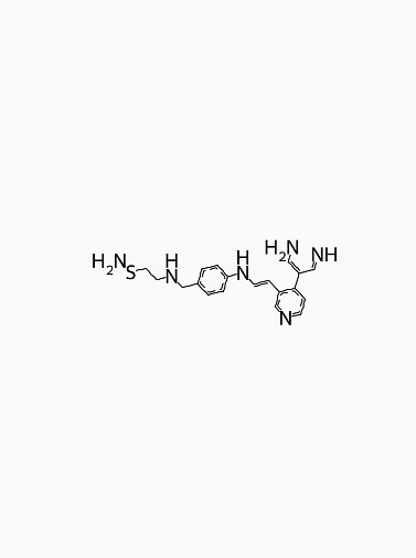 N=C/C(=C\N)c1ccncc1/C=C/Nc1ccc(CNCCSN)cc1